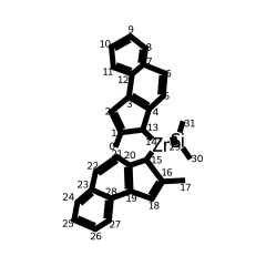 CC1=Cc2c(ccc3ccccc23)[CH]1[Zr]([CH]1C(C)=Cc2c1ccc1ccccc21)=[Si](C)C